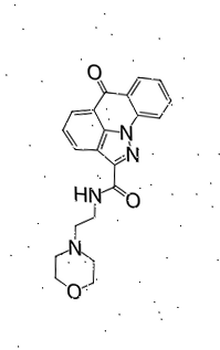 O=C(NCCN1CCOCC1)c1nn2c3ccccc3c(=O)c3cccc1c32